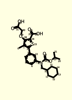 Cc1c(-c2cccc(N(CC3CCCCC3)C(=O)OC(C)C)c2)sc(C(=O)O)c1OCC(=O)O